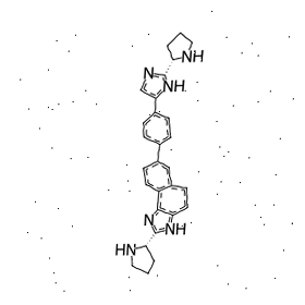 c1cc(-c2cnc([C@@H]3CCCN3)[nH]2)ccc1-c1ccc2c(ccc3[nH]c([C@@H]4CCCN4)nc32)c1